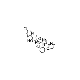 COc1cccc(OC)c1-n1c(NS(=O)(=O)[C@H](C)[C@@H](O)c2ncc(Cl)cn2)nnc1-c1cccc(C)n1